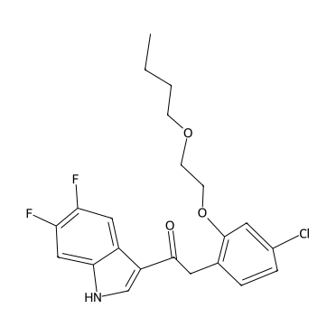 CCCCOCCOc1cc(Cl)ccc1CC(=O)c1c[nH]c2cc(F)c(F)cc12